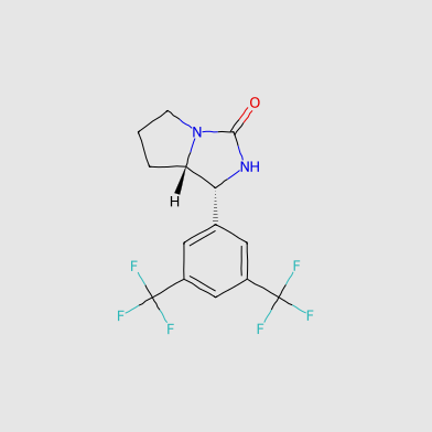 O=C1N[C@H](c2cc(C(F)(F)F)cc(C(F)(F)F)c2)[C@@H]2CCCN12